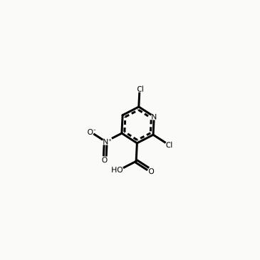 O=C(O)c1c([N+](=O)[O-])cc(Cl)nc1Cl